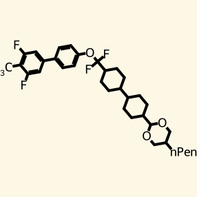 CCCCCC1COC(C2CCC(C3CCC(C(F)(F)Oc4ccc(-c5cc(F)c(C(F)(F)F)c(F)c5)cc4)CC3)CC2)OC1